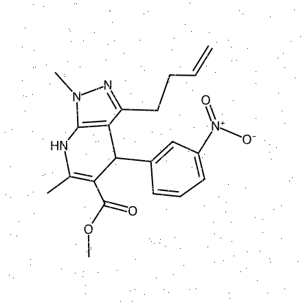 C=CCCc1nn(C)c2c1C(c1cccc([N+](=O)[O-])c1)C(C(=O)OC)=C(C)N2